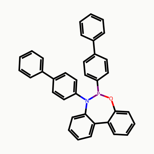 c1ccc(-c2ccc(-n3c4ccccc4c4ccccc4op3-c3ccc(-c4ccccc4)cc3)cc2)cc1